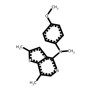 COc1ccc(N(C)c2ncc(C)c3sc(C)cc23)cc1